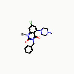 CCn1c(=O)n(Cc2ccccc2)c(=O)c2c(N3CCN(C)CC3)cc(Cl)cc21